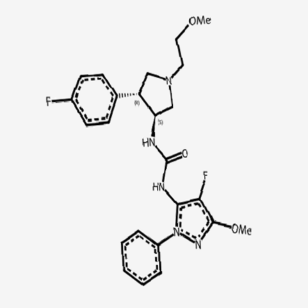 COCCN1C[C@@H](NC(=O)Nc2c(F)c(OC)nn2-c2ccccc2)[C@H](c2ccc(F)cc2)C1